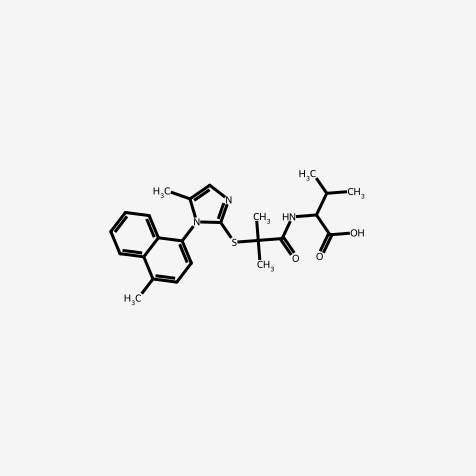 Cc1ccc(-n2c(C)cnc2SC(C)(C)C(=O)NC(C(=O)O)C(C)C)c2ccccc12